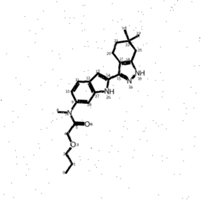 CCCOCC(=O)N(C)c1ccc2cc(-c3n[nH]c4c3CCC(C)(C)C4)[nH]c2c1